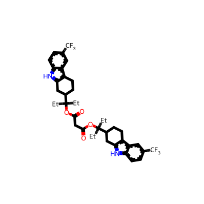 CCC(CC)(OC(=O)CC(=O)OC(CC)(CC)C1CCc2c([nH]c3ccc(C(F)(F)F)cc23)C1)C1CCc2c([nH]c3ccc(C(F)(F)F)cc23)C1